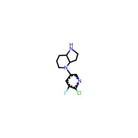 Fc1cc(N2CCCC3NCCC32)cnc1Cl